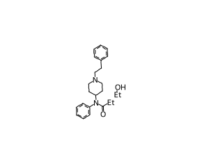 CCC(=O)N(c1ccccc1)C1CCN(CCc2ccccc2)CC1.CCO